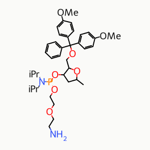 COc1ccc(C(OCC2OC(C)CC2OP(OCCOCCN)N(C(C)C)C(C)C)(c2ccccc2)c2ccc(OC)cc2)cc1